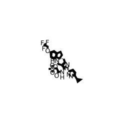 CS(=O)(=O)CC(=O)Nc1c2c(nn1-c1ccc(C3CC3)nn1)C[C@]1(CCc3cc(OCC(F)(F)F)ccc31)NC2=O